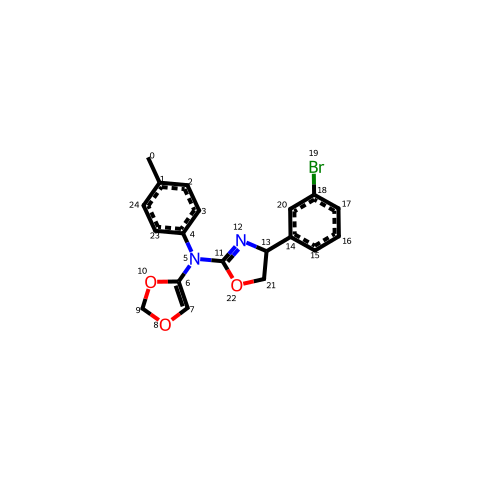 Cc1ccc(N(C2=COCO2)C2=NC(c3cccc(Br)c3)CO2)cc1